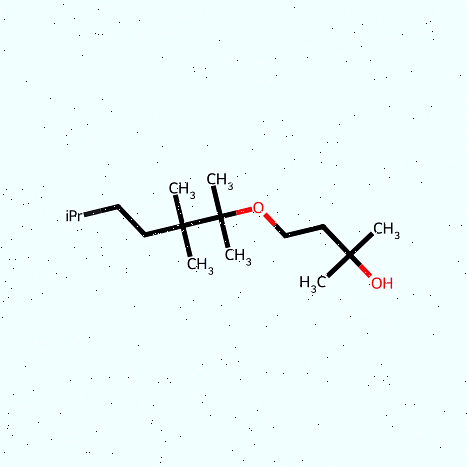 CC(C)CCC(C)(C)C(C)(C)OCCC(C)(C)O